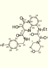 CCN(C(=O)C(=O)N1CCOCC1)c1cccn2c(=O)c(O)c(C(=O)NCc3ccc(F)cc3)nc12